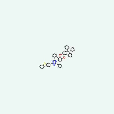 c1ccc(-c2nc(-c3ccc4c(c3)sc3ccccc34)nc(-c3ccccc3-c3cccc4c3Oc3ccc5c(c3O4)-c3ccccc3C5(c3ccccc3)c3ccccc3)n2)cc1